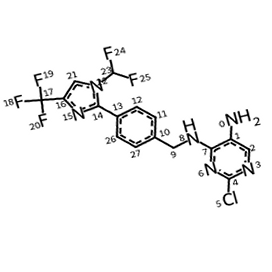 Nc1cnc(Cl)nc1NCc1ccc(-c2nc(C(F)(F)F)cn2C(F)F)cc1